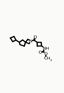 COC(=O)NC1CC(C(=O)N2CC3(CCC(C4CCC4)C3)C2)C1